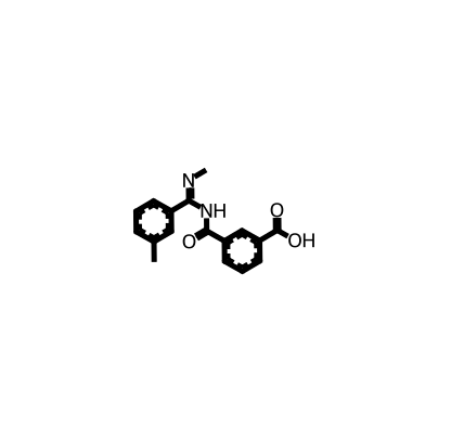 C/N=C(\NC(=O)c1cccc(C(=O)O)c1)c1cccc(C)c1